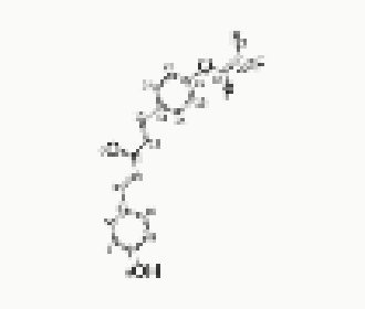 O=C(C=Cc1ccc(O)cc1)C=Cc1ccc(OC(F)=C(F)F)cc1